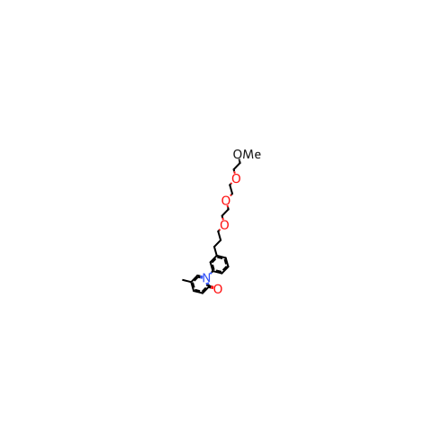 COCCOCCOCCOCCCc1cccc(-n2cc(C)ccc2=O)c1